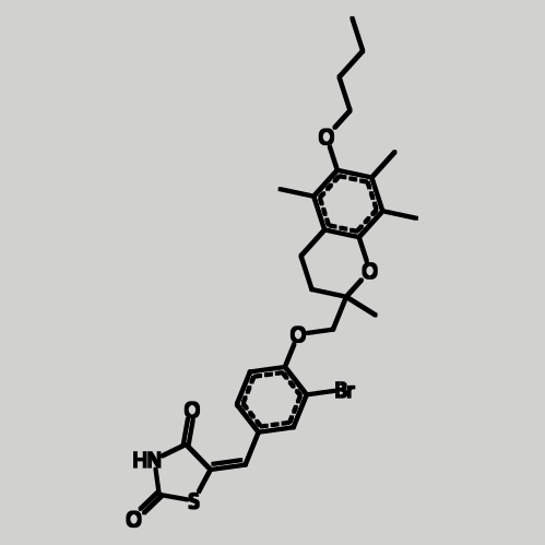 CCCCOc1c(C)c(C)c2c(c1C)CCC(C)(COc1ccc(/C=C3/SC(=O)NC3=O)cc1Br)O2